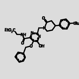 CCOC(=O)CNC(=O)c1nc(CN2CCC(c3ccc(C(C)(C)C)cc3)CC2=O)nc(O)c1OCc1ccccc1